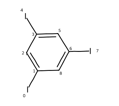 Ic1[c]c(I)cc(I)c1